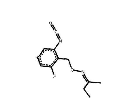 CCC(C)=NOCc1c(F)cccc1N=C=O